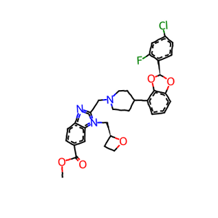 COC(=O)c1ccc2nc(CN3CCC(c4cccc5c4O[C@@H](c4ccc(Cl)cc4F)O5)CC3)n(C[C@@H]3CCO3)c2c1